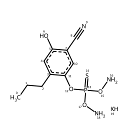 CCCc1cc(O)c(C#N)cc1OP(=S)(ON)ON.[KH]